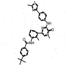 Cc1nc(-c2ccc(Nc3nc(-c4cccc(NC(=O)c5ccc(C(C)(C)C)cc5)c4C)cn(C)c3=O)cc2)cs1